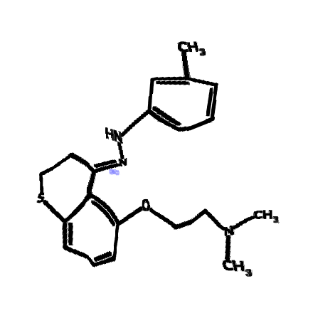 Cc1cccc(N/N=C2\CCSc3cccc(OCCN(C)C)c32)c1